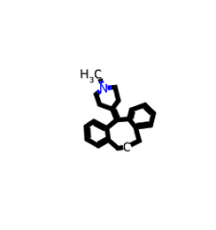 CN1CCC(=C2c3ccccc3CCCc3ccccc32)CC1